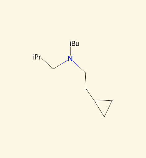 CCC(C)N(CCC1CC1)CC(C)C